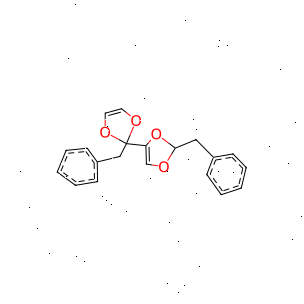 C1=COC(Cc2ccccc2)(C2=COC(Cc3ccccc3)O2)O1